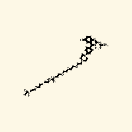 CC(=O)NCCOCCOCCNC(=O)NCCOCCOCCOCCN1CCN(c2ccc(-c3nc(N=C(N)N)nc4ccc(Cl)cc34)cc2)CC1